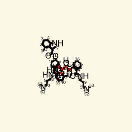 Cc1cccc2[nH]cc(C(=O)OC3CC4CCC3C(C(=O)NC(=O)C3C5CCC(CC5OC(=O)c5c[nH]c6cccc(C)c56)C3C(=O)NCCCN(C)C)C4C(=O)NCCCN(C)C)c12